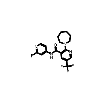 O=C(Nc1ccnc(F)c1)c1cc(C(F)(F)F)cnc1N1CCCCCC1